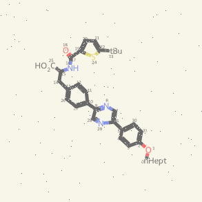 CCCCCCCOc1ccc(-c2cnc(-c3ccc(CC(NC(=O)c4ccc(C(C)(C)C)s4)C(=O)O)cc3)cn2)cc1